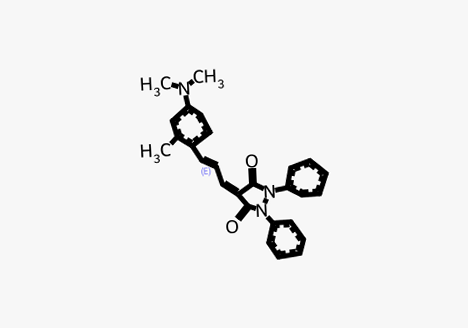 Cc1cc(N(C)C)ccc1/C=C/C=C1C(=O)N(c2ccccc2)N(c2ccccc2)C1=O